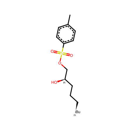 CC[C@H](C)CCC[C@@H](O)COS(=O)(=O)c1ccc(C)cc1